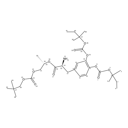 CCC(C)(C)OC(=O)Oc1ccc(C[C@H](N)C(=O)O[C@@H](C)COC(=O)OCC(C)(C)C)cc1OC(=O)OC(C)(C)CC